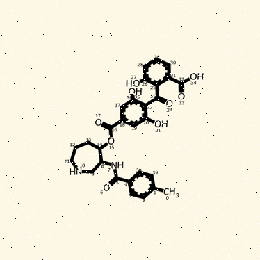 Cc1ccc(C(=O)NC2CNCCCC2OC(=O)c2cc(O)c(C(=O)c3c(O)cccc3C(=O)O)c(O)c2)cc1